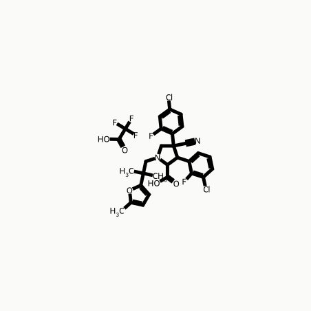 Cc1ccc(C(C)(C)CN2CC(C#N)(c3ccc(Cl)cc3F)C(c3cccc(Cl)c3F)C2C(=O)O)o1.O=C(O)C(F)(F)F